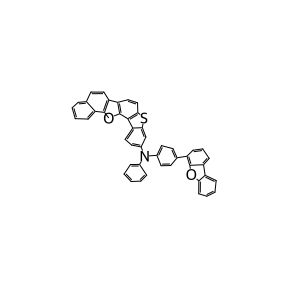 c1ccc(N(c2ccc(-c3cccc4c3oc3ccccc34)cc2)c2ccc3c(c2)sc2ccc4c5ccc6ccccc6c5oc4c23)cc1